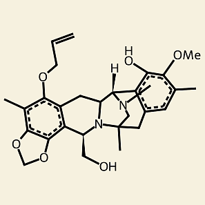 C=CCOc1c(C)c2c(c3c1CC1[C@@H]4c5c(cc(C)c(OC)c5O)CC(C)(CN4C)N1[C@H]3CO)OCO2